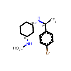 O=C(O)N[C@@H]1CCC[C@H](N[C@H](c2ccc(Br)cc2)C(F)(F)F)C1